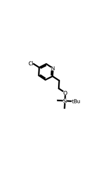 CC(C)(C)[Si](C)(C)OCCc1ccc(Cl)cn1